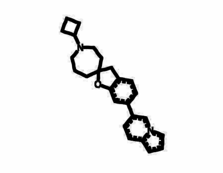 c1cc2ccc(-c3ccc4c(c3)OC3(CCCN(C5CCC5)CC3)C4)cn2c1